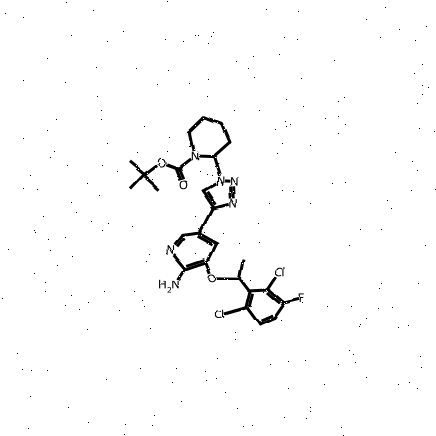 CC(Oc1cc(-c2cn(C3CCCCN3C(=O)OC(C)(C)C)nn2)cnc1N)c1c(Cl)ccc(F)c1Cl